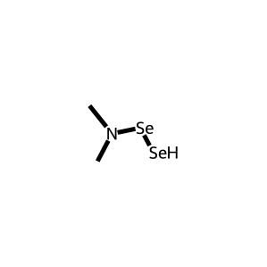 CN(C)[Se][SeH]